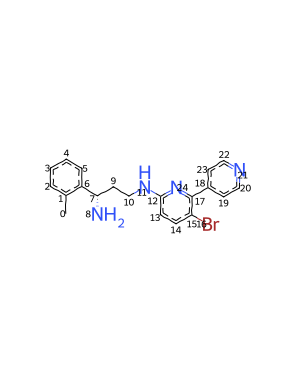 Cc1ccccc1[C@@H](N)CCNc1ccc(Br)c(-c2ccncc2)n1